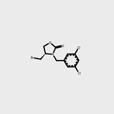 O=C1OC[C@H](CBr)N1Cc1cc(Cl)cc(Cl)c1